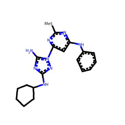 CSc1nc(Nc2ccccc2)cc(-n2nc(NC3CCCCC3)nc2N)n1